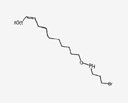 CCCCCCCC/C=C\CCCCCCCCOPCCCBr